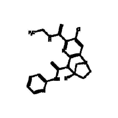 C=C(NCC(F)(F)F)c1nc2c(cc1Cl)N1CC[C@@H](C1)N2C(=C)Nc1ccccn1